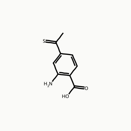 CC(=S)c1ccc(C(=O)O)c(N)c1